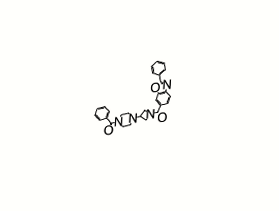 O=C(c1ccccc1)N1CCN(C2CN(C(=O)c3ccc4nc(-c5ccccc5)oc4c3)C2)CC1